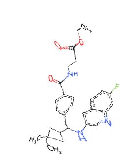 CCOC(=O)CCNC(=O)c1ccc(C(Nc2cnc3cc(F)ccc3c2)C2CC(C)(C)C2)cc1